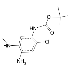 CNc1cc(NC(=O)OC(C)(C)C)c(Cl)cc1N